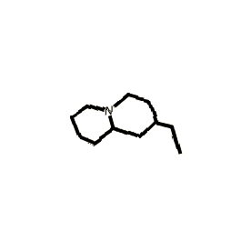 CCC1CCN2CCCCC2C1